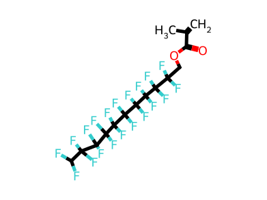 C=C(C)C(=O)OCC(F)(F)C(F)(F)C(F)(F)C(F)(F)C(F)(F)C(F)(F)C(F)(F)C(F)(F)C(F)(F)C(F)F